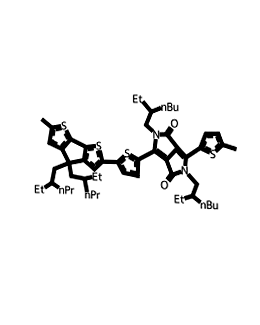 CCCCC(CC)CN1C(=O)C2=C(c3ccc(-c4cc5c(s4)-c4sc(C)cc4C5(CC(CC)CCC)CC(CC)CCC)s3)N(CC(CC)CCCC)C(=O)C2=C1c1ccc(C)s1